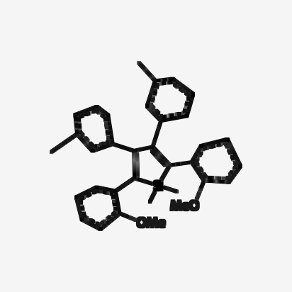 COc1ccccc1C1=C(c2cccc(C)c2)C(c2cccc(C)c2)=C(c2ccccc2OC)[Si]1(C)C